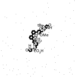 COc1nc(-c2cccc(-c3cccc(-c4cc5nc(CN(C[C@@H]6CCC(=O)N6)C(=O)O)cc(=O)n5n4C)c3Cl)c2Cl)ccc1CN(C[C@@H]1CCC(=O)N1)C(=O)OC(C)(C)C